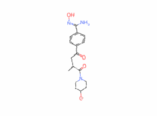 CC(CC(=O)c1ccc(C(N)=NO)cc1)C(=O)N1CCC([O])CC1